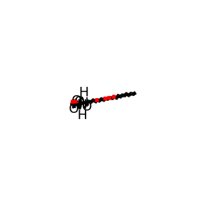 CCCCCCCCCCCCCCCCCCCCCCCC(=O)NNC(=O)C(CC)N1C(=O)C=CC1=O